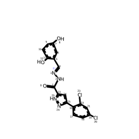 O=C(N/N=C/c1cc(O)ccc1O)c1cc(-c2ccc(Cl)cc2Cl)n[nH]1